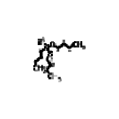 CCCCO[Si](Br)(CCCC)OCCCC